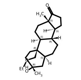 CCOC[C@]12CC[C@@](C)(O)C[C@@H]1CC[C@@H]1[C@@H]2CC[C@]2(C)C(=O)CC[C@@H]12